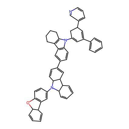 C1=CC2Oc3ccc(N4C5C=CC=CC5C5C=C(c6ccc7c(c6)c6c(n7C7=CC(c8ccccc8)=CC(c8cccnc8)C7)CCCC6)C=CC54)cc3C2C=C1